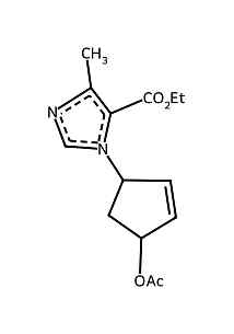 CCOC(=O)c1c(C)ncn1C1C=CC(OC(C)=O)C1